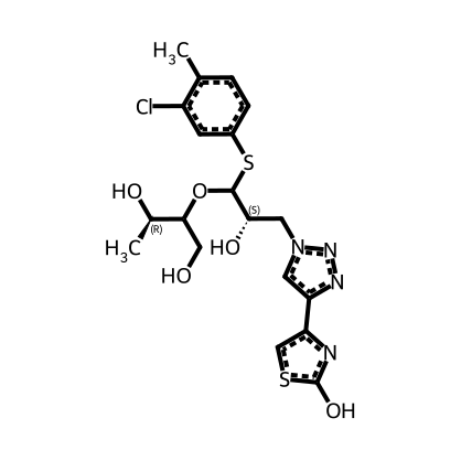 Cc1ccc(SC(OC(CO)[C@@H](C)O)[C@@H](O)Cn2cc(-c3csc(O)n3)nn2)cc1Cl